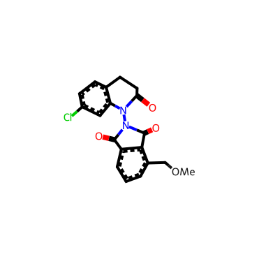 COCc1cccc2c1C(=O)N(N1C(=O)CCc3ccc(Cl)cc31)C2=O